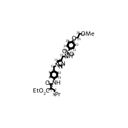 CCOC(=O)C(CC(C)C)C(=O)Nc1ccc(Cn2cc(CNS(=O)(=O)c3ccc(OCCOC)cc3)nn2)cc1